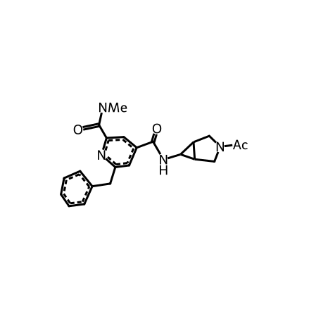 CNC(=O)c1cc(C(=O)NC2C3CN(C(C)=O)CC32)cc(Cc2ccccc2)n1